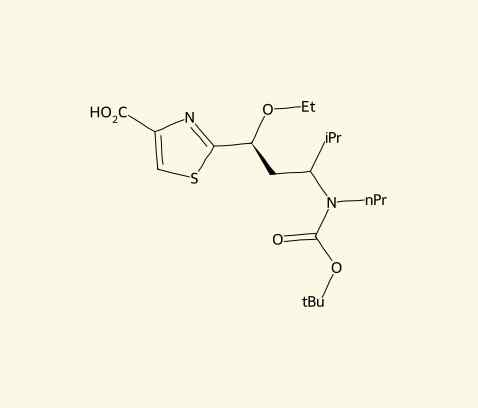 CCCN(C(=O)OC(C)(C)C)C(C[C@H](OCC)c1nc(C(=O)O)cs1)C(C)C